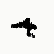 COCCN1C[C@@H](NC(=O)Nc2c(C)c(-c3cnc(N4CCNCC4)nc3)nn2-c2ccccc2)[C@H](c2cccc(F)c2)C1